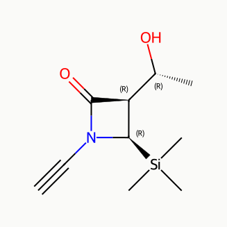 C#CN1C(=O)[C@@H]([C@@H](C)O)[C@H]1[Si](C)(C)C